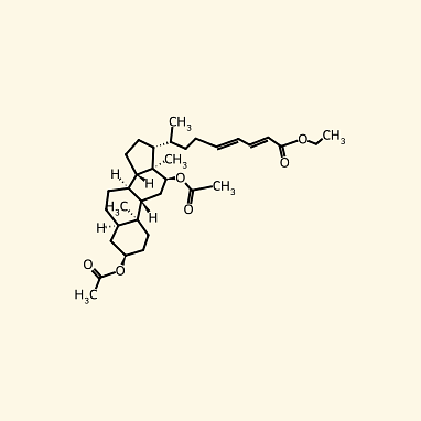 CCOC(=O)/C=C/C=C/CCC(C)[C@H]1CC[C@H]2[C@@H]3CC[C@@H]4C[C@H](OC(C)=O)CC[C@]4(C)[C@H]3C[C@H](OC(C)=O)[C@]12C